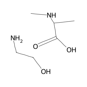 CNC(C)C(=O)O.NCCO